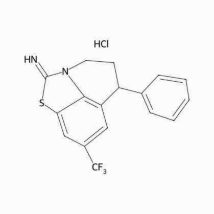 Cl.N=c1sc2cc(C(F)(F)F)cc3c2n1CCC3c1ccccc1